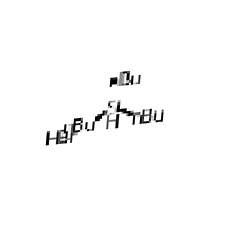 Br.CCCC[SiH](CCCC)CCCC